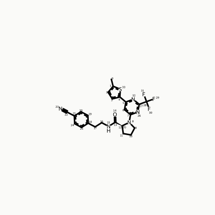 Cc1ccc(-c2cc(N3CCC[C@H]3C(=O)NCCc3ccc(C#N)cc3)nc(C(F)(F)F)n2)s1